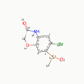 C[S+]([O-])c1cc2c(cc1Br)NC(=O)CO2